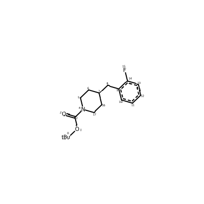 CC(C)(C)OC(=O)N1CCC(Cc2ccccc2F)CC1